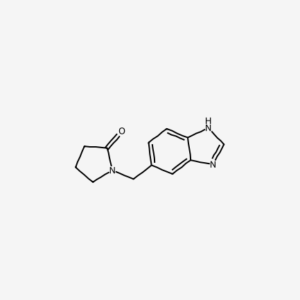 O=C1CCCN1Cc1ccc2[nH]cnc2c1